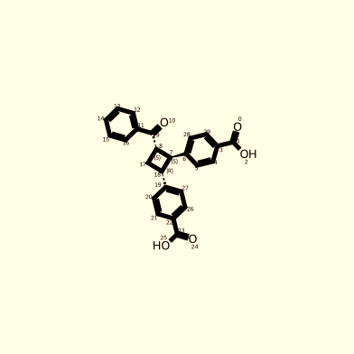 O=C(O)c1ccc([C@@H]2[C@@H](C(=O)c3ccccc3)C[C@H]2c2ccc(C(=O)O)cc2)cc1